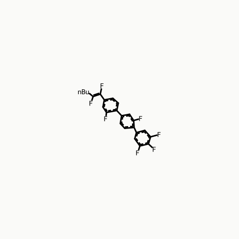 CCCC/C(F)=C(\F)c1ccc(-c2ccc(-c3cc(F)c(F)c(F)c3)c(F)c2)c(F)c1